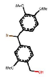 COc1cc(C(Br)c2ccc(OC)c(OC)c2)ccc1CO